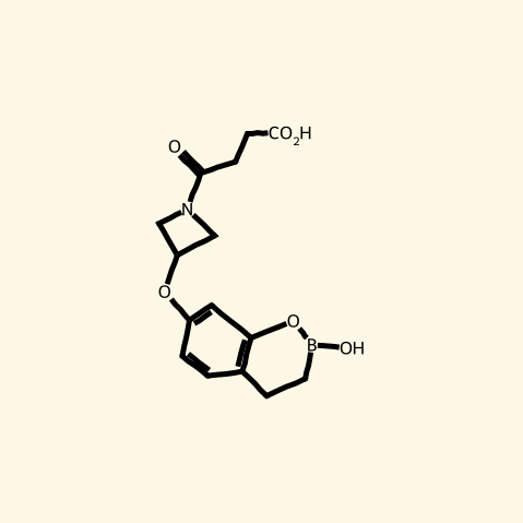 O=C(O)CCC(=O)N1CC(Oc2ccc3c(c2)OB(O)CC3)C1